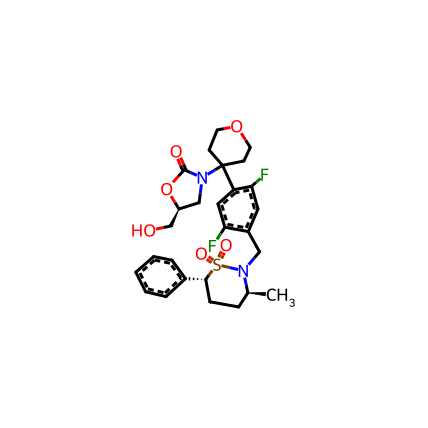 C[C@H]1CC[C@H](c2ccccc2)S(=O)(=O)N1Cc1cc(F)c(C2(N3C[C@@H](CO)OC3=O)CCOCC2)cc1F